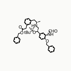 C[C@H](Cc1cccc(CC(=O)OCc2ccccc2)c1)NC[C@H](O[Si](C)(C)C(C)(C)C)c1ccc(OCc2ccccc2)c(NC=O)c1